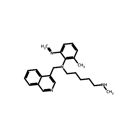 C=Nc1cccc(C)c1N(CCCCCNC)Cc1cncc2ccccc12